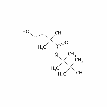 CC(C)(CCO)C(=O)NC(C)(C)C(C)(C)C